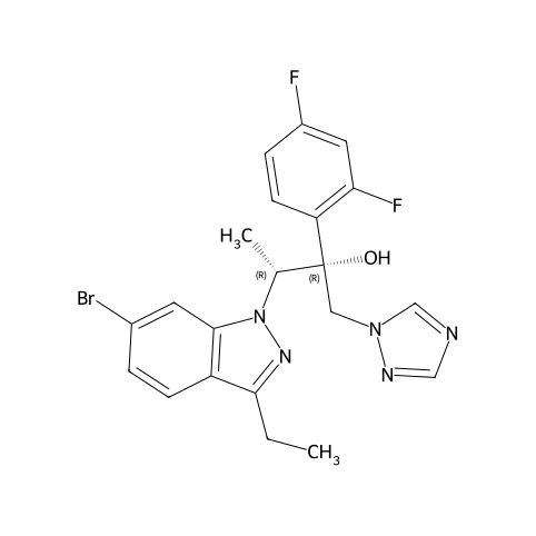 CCc1nn([C@H](C)[C@](O)(Cn2cncn2)c2ccc(F)cc2F)c2cc(Br)ccc12